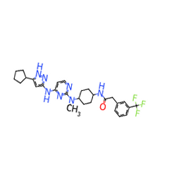 CN(c1nccc(Nc2cc(C3CCCC3)[nH]n2)n1)C1CCC(NC(=O)Cc2cccc(C(F)(F)F)c2)CC1